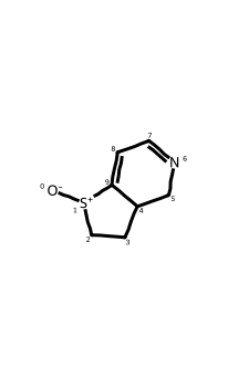 [O-][S+]1CCC2CN=CC=C21